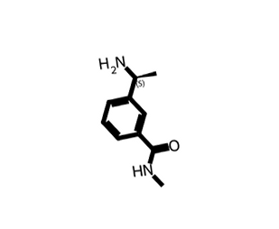 CNC(=O)c1cccc([C@H](C)N)c1